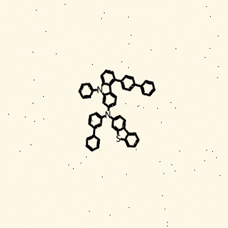 c1ccc(-c2ccc(-c3cccc4c3c3ccc(N(c5cccc(-c6ccccc6)c5)c5ccc6c(c5)sc5ccccc56)cc3n4-c3ccccc3)cc2)cc1